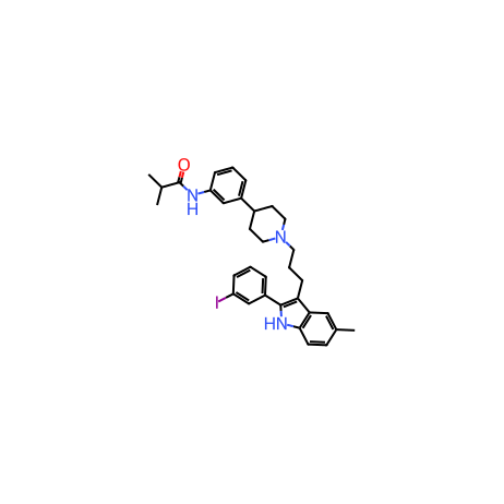 Cc1ccc2[nH]c(-c3cccc(I)c3)c(CCCN3CCC(c4cccc(NC(=O)C(C)C)c4)CC3)c2c1